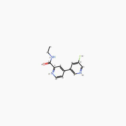 CCNC(=O)c1cc(-c2cncc(F)c2)ccn1